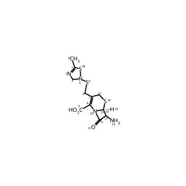 CC1=NCN(SCC2=C(C(=O)O)N3C(=O)C(N)[C@@H]3SC2)S1